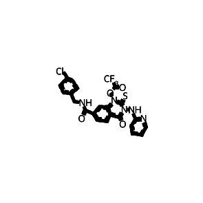 O=C(NCc1ccc(Cl)cc1)c1ccc2c(=O)n(Nc3ccccn3)c(=S)n(OC(=O)C(F)(F)F)c2c1